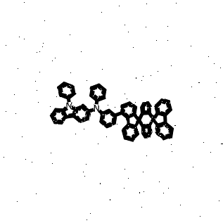 c1ccc(N(c2cccc(-c3cccc4c3-c3ccccc3C43c4ccccc4C4(c5ccccc5-c5ccccc54)c4ccccc43)c2)c2ccc3c4ccccc4n(-c4ccccc4)c3c2)cc1